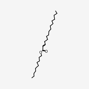 CCCCCCCCCCCCC/C=C/C(=O)OCCCCCCCCCC